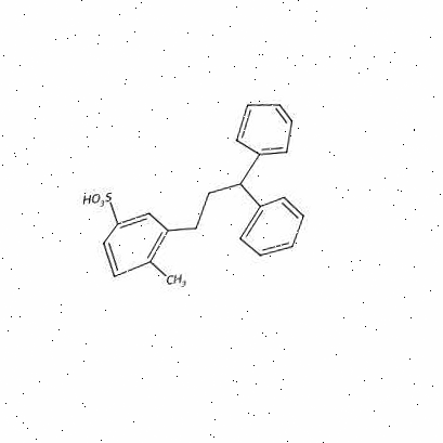 Cc1ccc(S(=O)(=O)O)cc1CCC(c1ccccc1)c1ccccc1